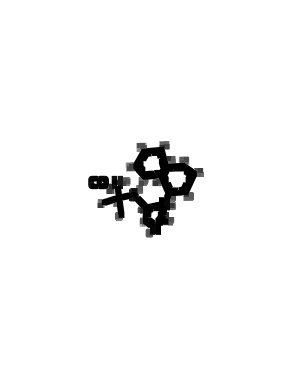 CC(C)(Sc1cnnn1-c1cccc2ccccc12)C(=O)O